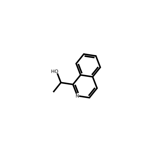 CC(O)c1nccc2ccccc12